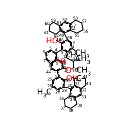 Cc1cc(-c2ccccc2OC(C)C(C)[C@H](C)Oc2ccccc2-c2cc(C)cc(-c3c4c(cc5c3CCCC5)CCCC4)c2O)c(O)c(-c2c3c(cc4c2CCCC4)CCCC3)c1